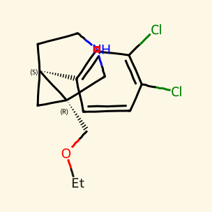 CCOC[C@@]12CNCC[C@]1(c1ccc(Cl)c(Cl)c1)C2